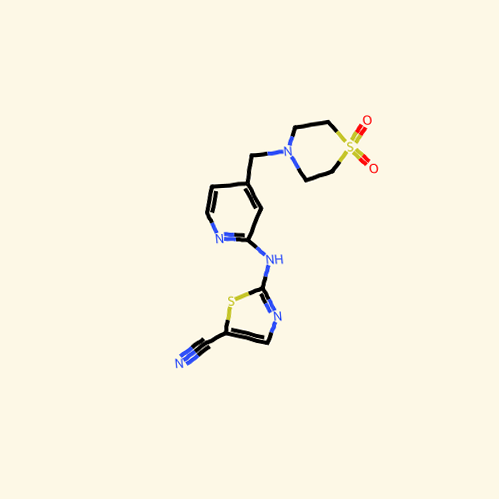 N#Cc1cnc(Nc2cc(CN3CCS(=O)(=O)CC3)ccn2)s1